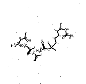 C=C(C)C(=O)O.C=C(C)C(=O)O.CC(CCCCC(C)(C)OC(N)=O)OC(N)=O.CC(O)CCO